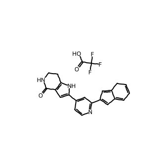 O=C(O)C(F)(F)F.O=C1NCCc2[nH]c(-c3ccnc(C4=CC5=CC=CCC5=C4)c3)cc21